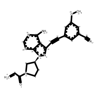 C=CC(=O)N1CC[C@H](n2nc(C#Cc3cc(C#N)cc(OC)c3)c3c(N)ncnc32)C1